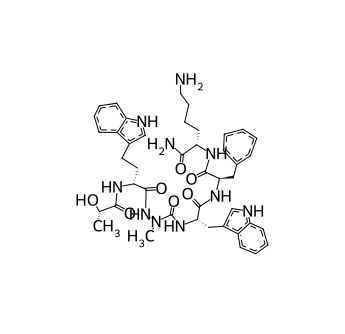 C[C@H](O)C(=O)N[C@H](CCc1c[nH]c2ccccc12)C(=O)NN(C)C(=O)N[C@@H](Cc1c[nH]c2ccccc12)C(=O)N[C@H](Cc1ccccc1)C(=O)N[C@@H](CCCCN)C(N)=O